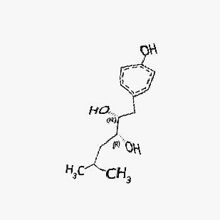 CC(C)C[C@@H](O)[C@H](O)Cc1ccc(O)cc1